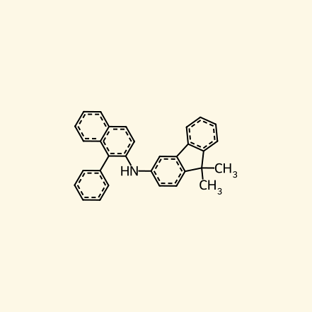 CC1(C)c2ccccc2-c2cc(Nc3ccc4ccccc4c3-c3ccccc3)ccc21